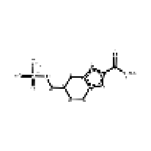 COC(=O)c1cc2c(s1)CC(COS(C)(=O)=O)CC2